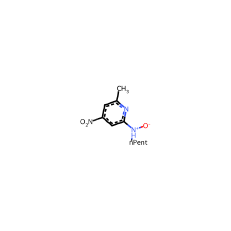 CCCCC[NH+]([O-])c1cc([N+](=O)[O-])cc(C)n1